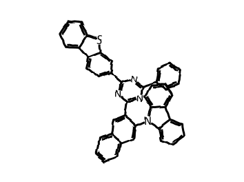 c1ccc(-c2nc(-c3ccc4c(c3)sc3ccccc34)nc(-c3cc4ccccc4cc3-n3c4ccccc4c4ccccc43)n2)cc1